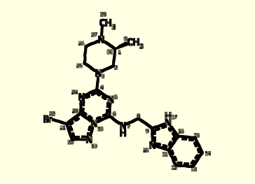 C[C@H]1CN(c2nc(NCc3nc4ccccc4[nH]3)n3ncc(Br)c3n2)CCN1C